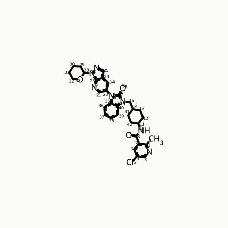 Cc1ncc(Cl)cc1C(=O)NC1CCC(Cn2c(=O)n(-c3cnc4c(cnn4C4CCCCO4)c3)c3ccccc32)CC1